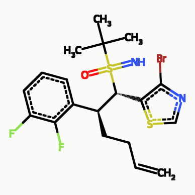 C=CCC[C@@H](c1cccc(F)c1F)[C@@H](c1scnc1Br)S(=N)(=O)C(C)(C)C